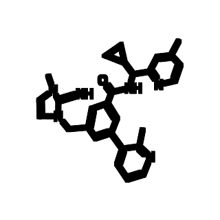 Cc1ccnc(C(NC(=O)c2cc(Cn3ccn(C)c3=N)cc(-c3cccnc3C)c2)C2CC2)c1